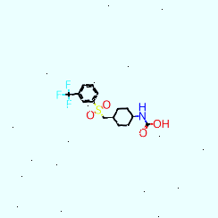 O=C(O)N[C@H]1CC[C@@H](CS(=O)(=O)c2cccc(C(F)(F)F)c2)CC1